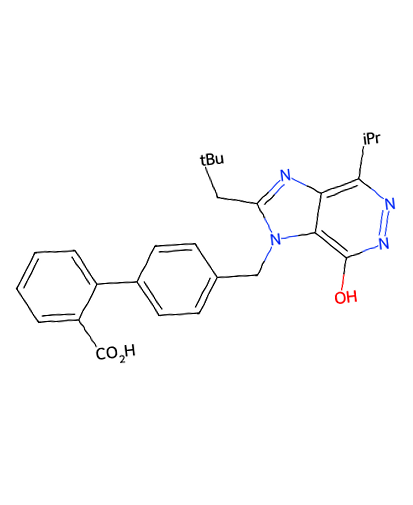 CC(C)c1nnc(O)c2c1nc(CC(C)(C)C)n2Cc1ccc(-c2ccccc2C(=O)O)cc1